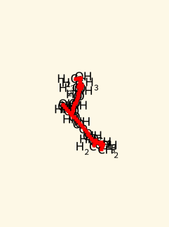 C=CCc1cc(C(C)(C)c2ccc(OC(=O)NCCNC(=O)OCCCCOCCCCOC(=O)NCCNC(=O)OCCC(CCOC(=O)NCCNC(=O)O)COC(=O)NCCNC(=O)OCCCCOC(=O)NCCNC(=O)Oc3ccc(C(C)(C)c4ccc(O)c(CC=C)c4)cc3CC=C)c(CC=C)c2)ccc1O